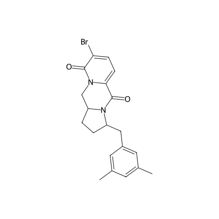 Cc1cc(C)cc(CC2CCC3Cn4c(ccc(Br)c4=O)C(=O)N23)c1